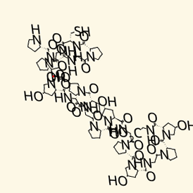 O=C(O)CNC(=O)[C@@H]1C[C@@H](O)CN1C(=O)[C@@H]1CCCN1C(=O)CNC(=O)[C@@H]1C[C@@H](O)CN1C(=O)[C@@H]1CCCN1C(=O)CNC(=O)[C@@H]1C[C@@H](O)CN1C(=O)[C@@H]1CCCN1C(=O)CNC(=O)[C@@H]1C[C@@H](O)CN1C(=O)[C@@H]1CCCN1C(=O)CNC(=O)[C@@H]1C[C@@H](O)CN1C(=O)[C@@H]1CCCN1C(=O)CNC(=O)[C@H](CS)NC(=O)[C@@H]1CCCN1C(=O)CNC(=O)[C@@H]1C[C@@H](O)CN1C(=O)[C@@H]1CCCN1